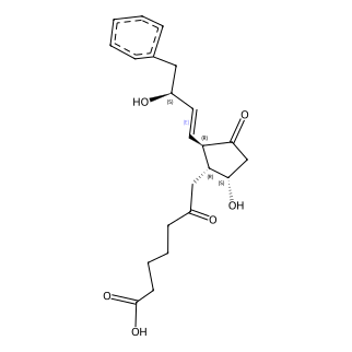 O=C(O)CCCCC(=O)C[C@H]1[C@@H](O)CC(=O)[C@@H]1/C=C/[C@@H](O)Cc1ccccc1